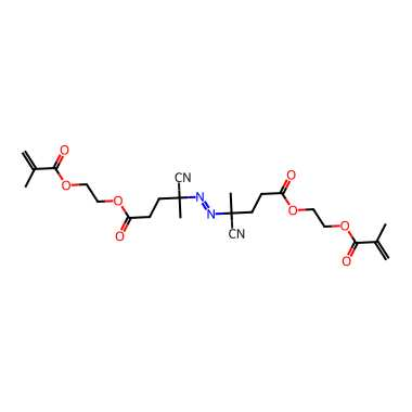 C=C(C)C(=O)OCCOC(=O)CCC(C)(C#N)N=NC(C)(C#N)CCC(=O)OCCOC(=O)C(=C)C